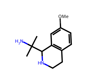 COc1ccc2c(c1)C(C(C)(C)N)NCC2